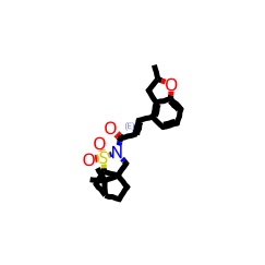 CC1Cc2c(/C=C/C(=O)N3CC45CCC(CC4S3(=O)=O)C5(C)C)cccc2O1